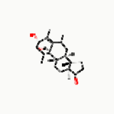 CC1=C2C(C)C[C@H]3[C@@H]4CCC(=O)[C@@]4(C)CC[C@@H]3[C@@]2(C=O)C(C)C[C@@H]1O